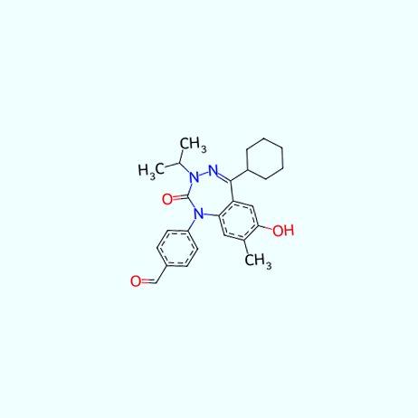 Cc1cc2c(cc1O)C(C1CCCCC1)=NN(C(C)C)C(=O)N2c1ccc(C=O)cc1